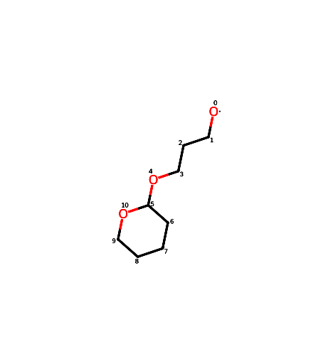 [O]CCCOC1CCCCO1